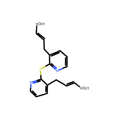 CCCCCCCCC=CCc1cccnc1Sc1ncccc1CC=CCCCCCCCC